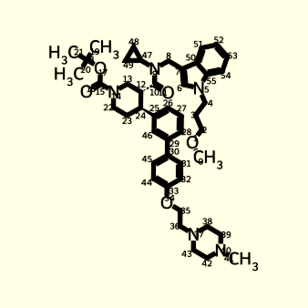 COCCCn1cc(CN(C(=O)[C@H]2CN(C(=O)OC(C)(C)C)CC[C@@H]2c2cccc(-c3ccc(OCCN4CCN(C)CC4)cc3)c2)C2CC2)c2ccccc21